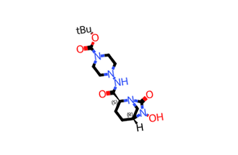 CC(C)(C)OC(=O)N1CCN(NC(=O)[C@@H]2CC[C@@H]3CN2C(=O)N3O)CC1